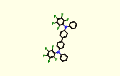 Fc1c(F)c(F)c(N(c2ccccc2)c2ccc(C3=CCC(N(c4ccccc4)c4c(F)c(F)c(F)c(F)c4F)C=C3)cc2)c(F)c1F